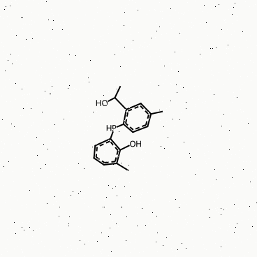 Cc1ccc(Pc2cccc(C)c2O)c(C(C)O)c1